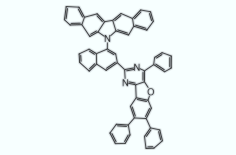 c1ccc(-c2cc3oc4c(-c5ccccc5)nc(-c5cc(-n6c7cc8ccccc8cc7c7cc8ccccc8cc76)c6ccccc6c5)nc4c3cc2-c2ccccc2)cc1